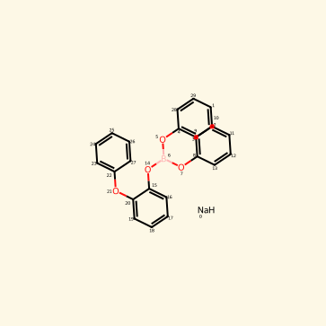 [NaH].c1ccc(OB(Oc2ccccc2)Oc2ccccc2Oc2ccccc2)cc1